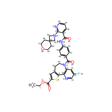 CCOC(=O)c1cc2c(s1)-c1ncc(F)cc1N(C(=O)c1ccc(NC(=O)c3cccnc3N3CC4(CCOCC4)C3)cc1)CC2